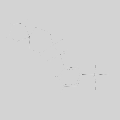 O=S(=O)(c1cc(F)cc(C(F)(F)F)c1)C1(F)CCC2(CC1)OCCO2